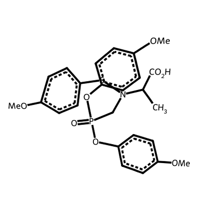 COc1ccc(OP(=O)(CN(Sc2ccc(OC)cc2)C(C)C(=O)O)Oc2ccc(OC)cc2)cc1